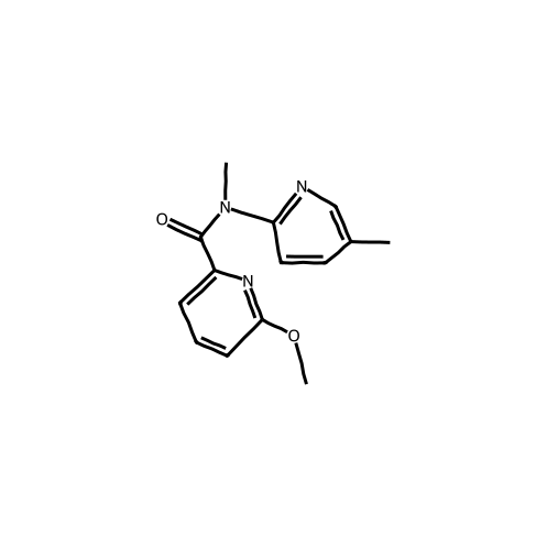 COc1cccc(C(=O)N(C)c2ccc(C)cn2)n1